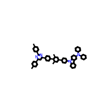 Cc1ccc(-c2cc(-c3ccc(-c4c(C)cc(-c5ccc(-n6c7ccccc7c7cc(N(c8ccccc8)c8ccccc8)ccc76)cc5)cc4C)cc3)nc(-c3ccc(C)cc3)n2)cc1